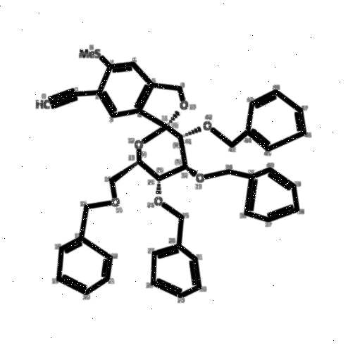 C#Cc1cc2c(cc1SC)CO[C@]21O[C@H](COCc2ccccc2)[C@@H](OCc2ccccc2)[C@H](OCc2ccccc2)[C@H]1OCc1ccccc1